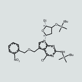 CC[C@H]1O[C@@H](n2cc(COCc3ccccc3[N+](=O)[O-])c3c(Cl)nc(N[Si](C)(C)C(C)(C)C)nc32)CC1O[Si](C)(C)C(C)(C)C